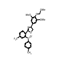 COCOc1c(OC)cc(C2COC(c3ccc(C(F)(F)F)cc3[S@@+]([O-])c3ccc(C)cc3)=N2)cc1OC